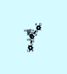 O=C(COc1ccc(Cl)c(F)c1)NC12CCC(NC(=O)COc3ccc(Cl)c(F)c3)(CC1)[C@H](OS(=O)(=O)O)C2